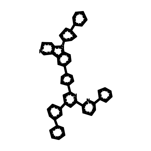 c1ccc(-c2ccc(-n3c4ccncc4c4cc(-c5ccc(-c6cc(-c7cccc(-c8ccccc8)c7)cc(-c7cccc(-c8ccccc8)n7)n6)cc5)ccc43)cc2)cc1